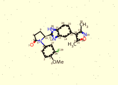 COc1ccc(N2C(=O)CC[C@H]2c2nc3cc(-c4c(C)noc4C)ccc3[nH]2)cc1F